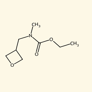 CCOC(=O)N(C)CC1COC1